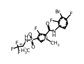 C[C@@H](NS(=O)(=O)c1cn(C)c(C(=O)Nc2ccc(F)c(Br)c2F)c1F)C(F)(F)F